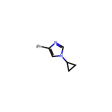 CC(C)c1cn(C2CC2)cn1